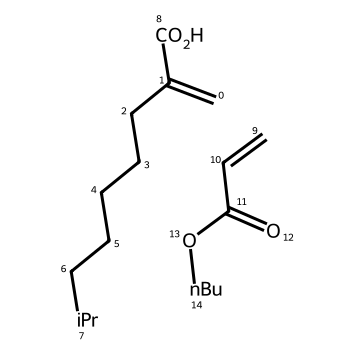 C=C(CCCCCC(C)C)C(=O)O.C=CC(=O)OCCCC